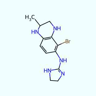 CC1CNc2c(ccc(NC3=NCCN3)c2Br)N1